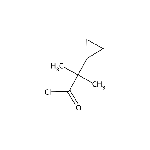 CC(C)(C(=O)Cl)C1CC1